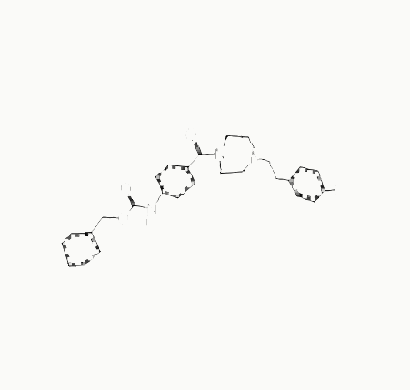 O=C(Nc1ccc(C(=O)N2CCN(CCc3ccc(Cl)cc3)CC2)cc1)OCc1ccccc1